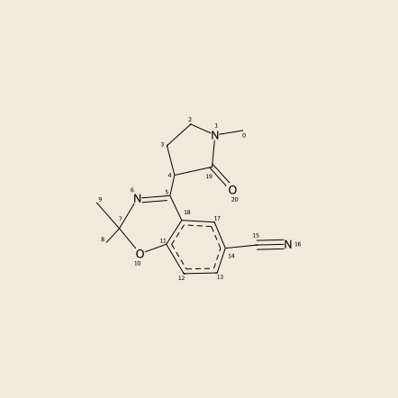 CN1CCC(C2=NC(C)(C)Oc3ccc(C#N)cc32)C1=O